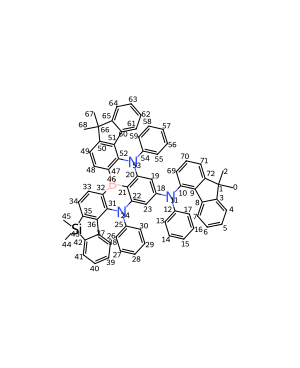 CC1(C)c2ccccc2-c2c(N(c3ccccc3)c3cc4c5c(c3)N(c3ccccc3)c3c(ccc6c3-c3ccccc3[Si]6(C)C)B5c3ccc5c(c3N4c3ccccc3)-c3ccccc3C5(C)C)cccc21